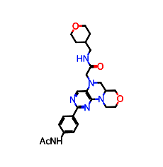 CC(=O)Nc1ccc(-c2ncc3c(n2)N2CCOCC2CN3CC(=O)NCC2CCOCC2)cc1